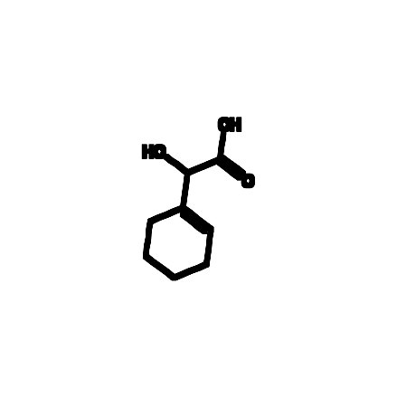 O=C(O)C(O)C1=CCCCC1